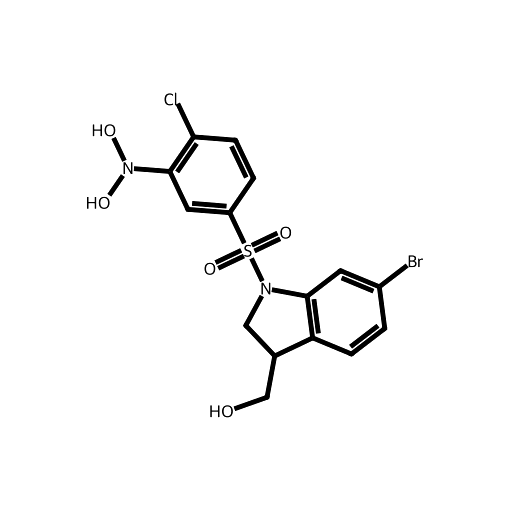 O=S(=O)(c1ccc(Cl)c(N(O)O)c1)N1CC(CO)c2ccc(Br)cc21